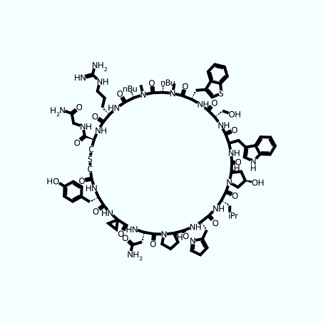 CCCC[C@H]1C(=O)N(C)[C@@H](CCCC)C(=O)N[C@@H](CCCNC(=N)N)C(=O)N[C@H](C(=O)NCC(N)=O)CSCC(=O)N[C@@H](Cc2ccc(O)cc2)C(=O)NC2(CC2)C(=O)N[C@@H](CC(N)=O)C(=O)N2CCC[C@H]2C(=O)N[C@@H](CC2=CCC=N2)C(=O)N[C@@H](CC(C)C)C(=O)N2C[C@H](O)C[C@H]2C(=O)NC(Cc2c[nH]c3ccccc23)C(=O)N[C@@H](CO)C(=O)N[C@@H](Cc2csc3ccccc23)C(=O)N1C